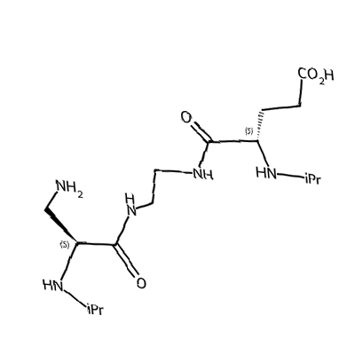 CC(C)N[C@@H](CN)C(=O)NCCNC(=O)[C@H](CCC(=O)O)NC(C)C